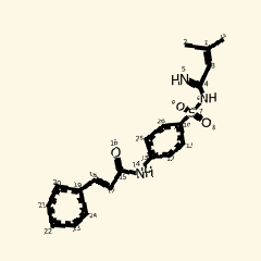 CC(C)=CC(=N)NS(=O)(=O)c1ccc(NC(=O)/C=C/c2ccccc2)cc1